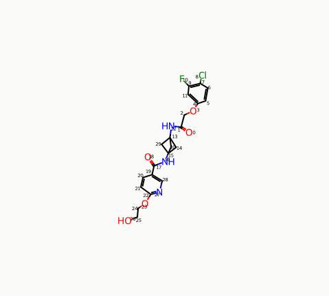 O=C(COc1ccc(Cl)c(F)c1)NC12CC(NC(=O)c3ccc(OCCO)nc3)(C1)C2